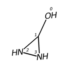 OC1NN1